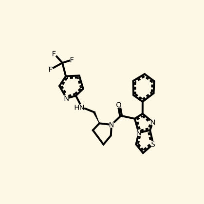 O=C(c1c(-c2ccccc2)nc2sccn12)N1CCC[C@H]1CNc1ccc(C(F)(F)F)cn1